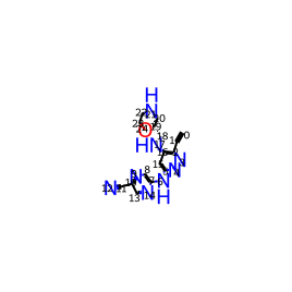 C#Cc1nnc(Nc2cnc(C#N)cn2)cc1NC[C@H]1CNCCO1